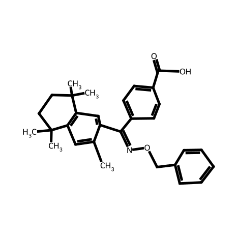 Cc1cc2c(cc1C(=NOCc1ccccc1)c1ccc(C(=O)O)cc1)C(C)(C)CCC2(C)C